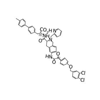 Cc1ccc(-c2ccc(C[C@H](NC(=O)C3Cc4cc5c(cc4CN3Cc3ccccn3)O[C@@H](c3ccc(OCc4ccc(Cl)c(Cl)c4)cc3)C(=O)N5)C(=O)O)cc2)cc1